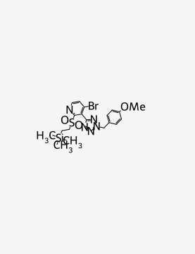 COc1ccc(Cn2nnc(-c3c(Br)ccnc3S(=O)(=O)CC[Si](C)(C)C)n2)cc1